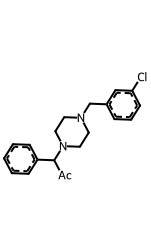 CC(=O)C(c1ccccc1)N1CCN(Cc2cccc(Cl)c2)CC1